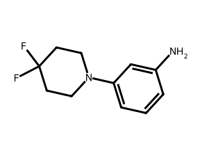 Nc1cccc(N2CCC(F)(F)CC2)c1